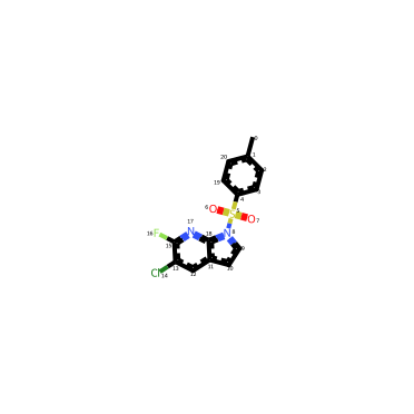 Cc1ccc(S(=O)(=O)n2ccc3cc(Cl)c(F)nc32)cc1